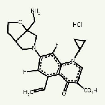 C=Cc1c(F)c(N2CC3CCOC3(CN)C2)c(F)c2c1c(=O)c(C(=O)O)cn2C1CC1.Cl